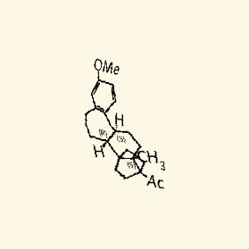 COc1ccc2c(c1)CC[C@@H]1[C@@H]2CC[C@]2(C)C3(C(C)=O)CCC12CC3